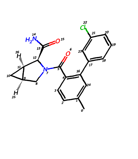 Cc1ccc(C(=O)N2C[C@H]3C[C@H]3[C@H]2C(N)=O)c(-c2cccc(Cl)c2)c1